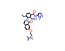 CCc1ccc(C(=O)Nc2ccnn2C)c(CC)c1-n1ccc2ccc(OCCN(C)C(C)C)cc2c1=O